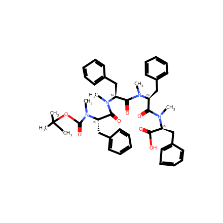 CN(C(=O)OC(C)(C)C)[C@@H](Cc1ccccc1)C(=O)N(C)[C@@H](Cc1ccccc1)C(=O)N(C)[C@@H](Cc1ccccc1)C(=O)N(C)[C@@H](Cc1ccccc1)C(=O)O